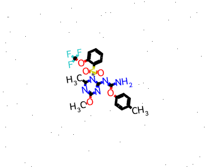 COC1=NC(C)N(S(=O)(=O)c2ccccc2OC(F)(F)F)C(N=C(N)Oc2ccc(C)cc2)=N1